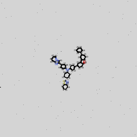 C1=Cc2sc([C@H]3C=CC(N(C4=CC=C(c5ccc6oc7ccc(-c8ccccc8)cc7c6c5)CC4)c4ccc(-c5cn6ccccc6n5)cc4)=CC3)nc2CC1